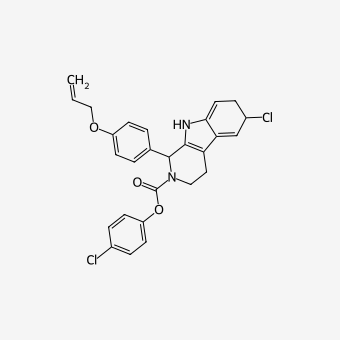 C=CCOc1ccc(C2c3[nH]c4c(c3CCN2C(=O)Oc2ccc(Cl)cc2)=CC(Cl)CC=4)cc1